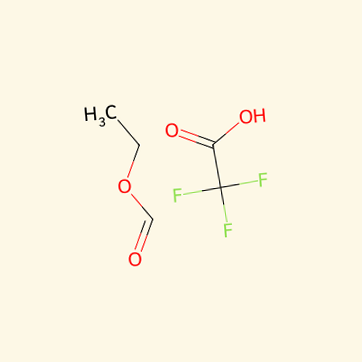 CCOC=O.O=C(O)C(F)(F)F